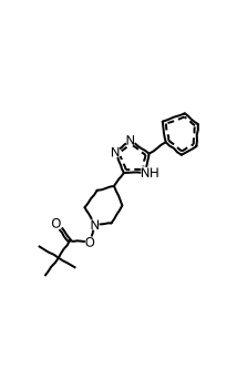 CC(C)(C)C(=O)ON1CCC(c2nnc(-c3ccccc3)[nH]2)CC1